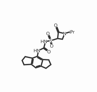 CC(C)N1CC(S(=O)(=O)NC(=O)Nc2c3c(cc4c2CCC4)CCC3)C1=O